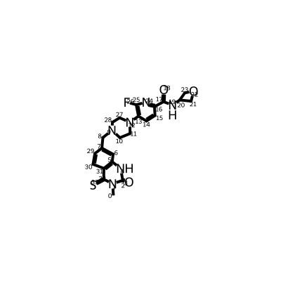 Cn1c(=O)[nH]c2cc(CN3CCN(c4ccc(C(=O)NC5COC5)nc4F)CC3)ccc2c1=S